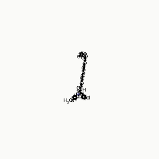 COc1ccc(/N=c2\oc3ccc(Cl)cc3cc2C(=S)NC(=O)CCOCCOCCOCCOCCOCCC(=O)ON2C(=O)CCC2=O)cc1